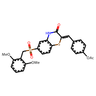 COc1cccc(OC)c1CS(=O)(=O)c1ccc2c(c1)NC(=O)C(=Cc1ccc(OC(C)=O)cc1)S2